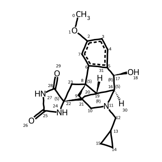 COc1ccc2c(c1)[C@]13CCN(CC4CC4)[C@H]([C@@H]2O)[C@@H]1CC[C@@]1(C3)NC(=O)NC1=O